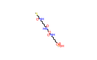 CSCCC(=O)NCCCCCC(=O)NCCOC(=O)NCCCCCCOP(C)(=O)O